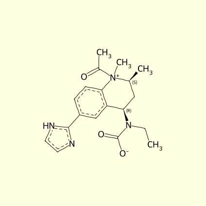 CCN(C(=O)[O-])[C@@H]1C[C@H](C)[N+](C)(C(C)=O)c2ccc(-c3ncc[nH]3)cc21